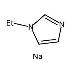 CCn1ccnc1.[Na]